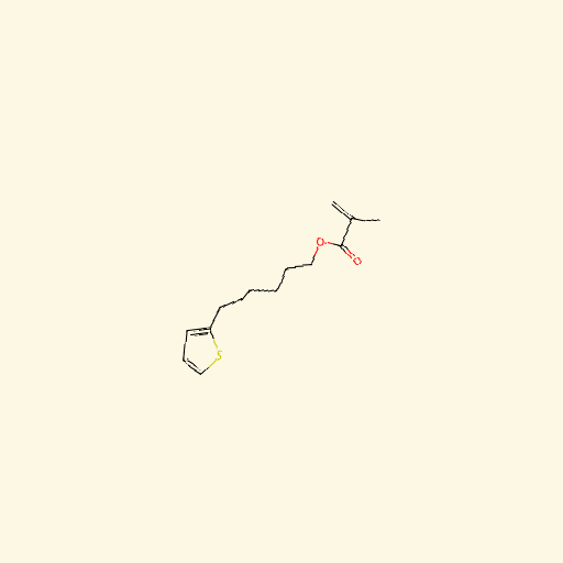 C=C(C)C(=O)OCCCCCCc1cccs1